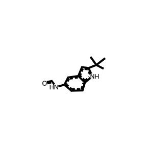 CC(C)(C)c1cc2cc(NC=O)ccc2[nH]1